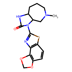 CN1CCCC2NC(=O)N(c3nc4c5c(ccc4s3)OCO5)C2C1